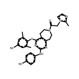 Cc1cc(C#N)cc(C)c1Oc1nc(Nc2ccc(C#N)cc2)nc2c1CCN(C(=O)Cn1ccnc1C)CC2